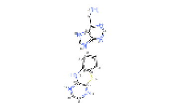 NCc1ncnc2c1ncn2-c1ccc2c(c1)Nc1nccnc1S2